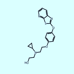 OCCN(CCOc1ccc(Oc2nc3cccnc3s2)cc1)C1CC1